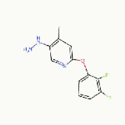 Cc1cc(Oc2cccc(F)c2F)ncc1NN